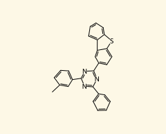 Cc1cccc(-c2nc(-c3ccccc3)nc(-c3ccc4sc5ccccc5c4c3)n2)c1